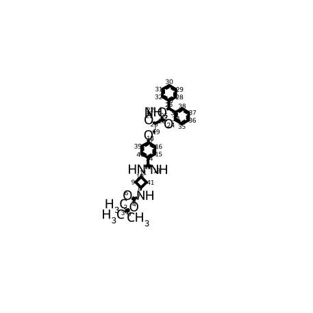 CC(C)(C)OC(=O)N[C@H]1C[C@H](NC(=N)c2ccc(OC[C@H](ON)C(=O)OC(c3ccccc3)c3ccccc3)cc2)C1